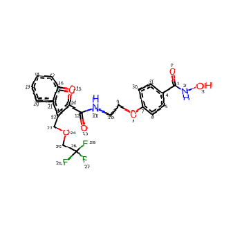 O=C(NO)c1ccc(OCCNC(=O)c2oc3ccccc3c2COCC(F)(F)F)cc1